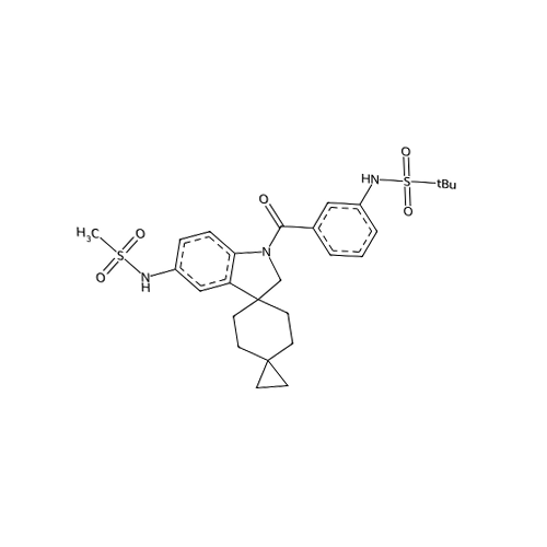 CC(C)(C)S(=O)(=O)Nc1cccc(C(=O)N2CC3(CCC4(CC4)CC3)c3cc(NS(C)(=O)=O)ccc32)c1